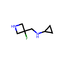 FC1(CNC2CC2)CNC1